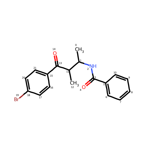 CC(NC(=O)c1ccccc1)C(C)C(=O)c1ccc(Br)cc1